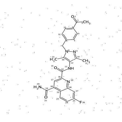 CC(=O)c1ccc(Cn2nc(C)c(NC(=O)c3cc(C(N)=O)c4ccc(F)cc4n3)c2C)cc1